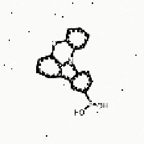 OB(O)c1ccc2c(c1)c1cccc3c1n2-c1ccccc1O3